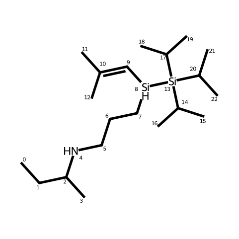 CCC(C)NCCC[SiH](C=C(C)C)[Si](C(C)C)(C(C)C)C(C)C